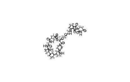 CS(=O)(=O)N1CCC(C(=O)NCC(=O)NC2NC(c3cccc(C4CCNC(N5CCN(C(=O)CCOCCOCCNc6cccc7c6C(=O)N(C6CCC(=O)NC6=O)C7=O)CC5)C4)c3)CS2)C1